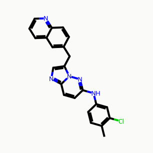 Cc1ccc(Nc2ccc3ncc(Cc4ccc5ncccc5c4)n3n2)cc1Cl